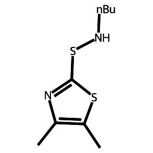 CCCCNSc1nc(C)c(C)s1